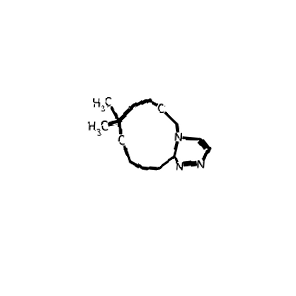 CC1(C)CCCCC2N=NC=CN2CCCC1